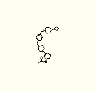 O=c1[nH]c2cccc(N3CCN(Cc4ccc(CN5CCN(C6CCC6)CC5)cc4)CC3)c2o1